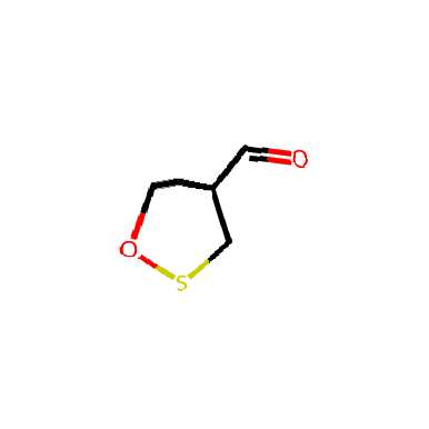 O=CC1COSC1